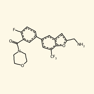 NCc1cc2cc(-c3ccc(F)c(C(=O)N4CCOCC4)c3)cc(C(F)(F)F)c2o1